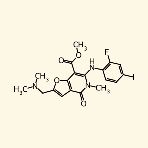 COC(=O)c1c(Nc2ccc(I)cc2F)n(C)c(=O)c2cc(CN(C)C)oc12